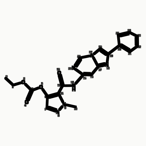 CCOC(=O)Oc1cnn(C)c1C(=O)Nc1cc2nc(-c3ccccc3)cn2cn1